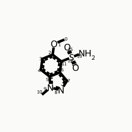 COc1ccc2c(cnn2C)c1S(N)(=O)=O